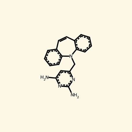 Nc1cc(CN2c3ccccc3C=Cc3ccccc32)nc(N)n1